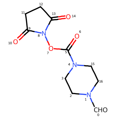 O=CN1CCN(C(=O)ON2C(=O)CCC2=O)CC1